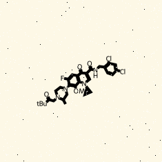 COc1c(N2CCN(CC(=O)C(C)(C)C)C(C)C2)c(F)cc2c(=O)c(C(=O)NCc3ccc(Cl)cc3Cl)cn(C3CC3)c12